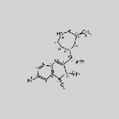 CCC[C@H](c1nc2ccc(Br)cc2c(=O)n1CCC)N1CCNC[C@@H](C)C1